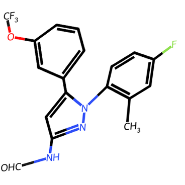 Cc1cc(F)ccc1-n1nc(NC=O)cc1-c1cccc(OC(F)(F)F)c1